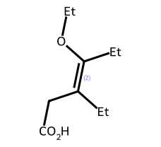 CCO/C(CC)=C(/CC)CC(=O)O